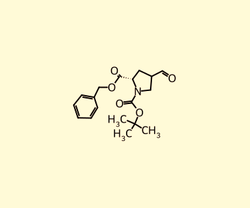 CC(C)(C)OC(=O)N1CC(C=O)C[C@H]1C(=O)OCc1ccccc1